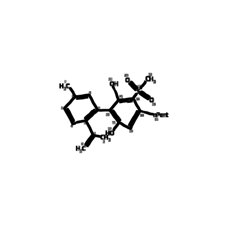 C=C(C)c1ccc(C)cc1-c1c(O)cc(CCCCC)c(S(C)(=O)=O)c1O